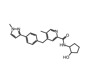 Cc1cnc(C(=O)NC2CCCC2O)cc1Cc1ccc(-c2ccn(C)n2)cc1